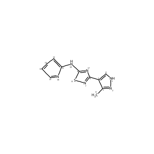 Cc1n[nH]cc1-c1nsc(Nc2ccccn2)n1